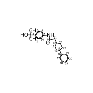 CC(C)(O)c1ccc(NC(=O)CC2CCC(c3ccccc3)CC2)cc1